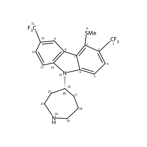 CSc1c(C(F)(F)F)ccc2c1c1cc(C(F)(F)F)ccc1n2[C@@H]1CCCNCC1